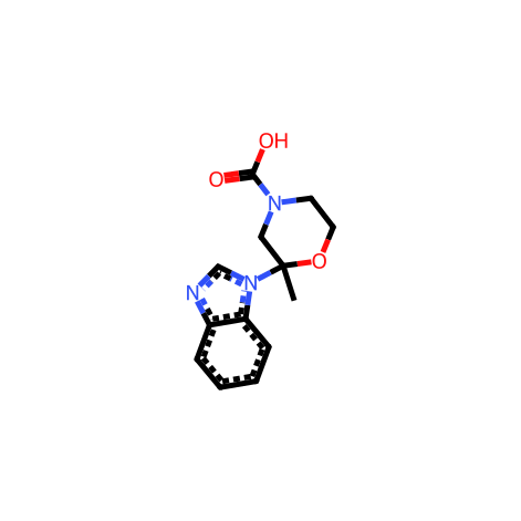 CC1(n2cnc3ccccc32)CN(C(=O)O)CCO1